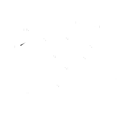 COCCn1nc(C(C)C)c2nc(N3CCN[C@H](C)C3)nc(Nc3ccc(C)cn3)c21